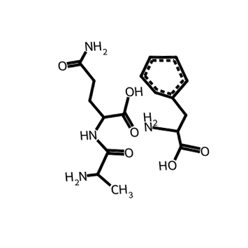 CC(N)C(=O)NC(CCC(N)=O)C(=O)O.NC(Cc1ccccc1)C(=O)O